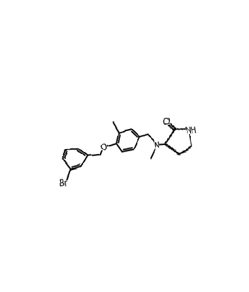 Cc1cc(CN(C)C2CCNC2=O)ccc1OCc1cccc(Br)c1